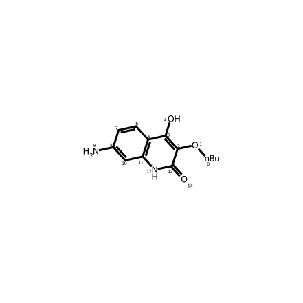 CCCCOc1c(O)c2ccc(N)cc2[nH]c1=O